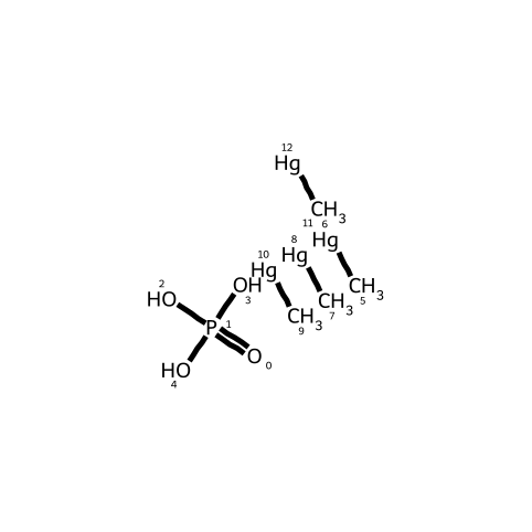 O=P(O)(O)O.[CH3][Hg].[CH3][Hg].[CH3][Hg].[CH3][Hg]